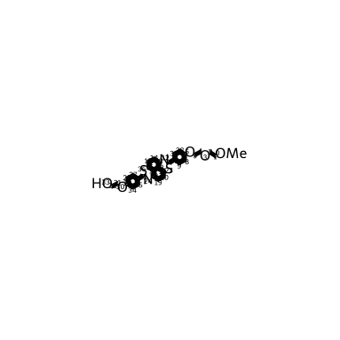 COCCOCCOc1ccc(C2=Nc3ccc4c5c(ccc(c35)S2)N=C(c2ccc(OCCO)cc2)S4)cc1